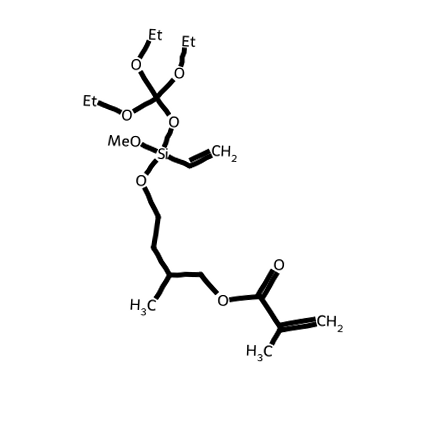 C=C[Si](OC)(OCCC(C)COC(=O)C(=C)C)OC(OCC)(OCC)OCC